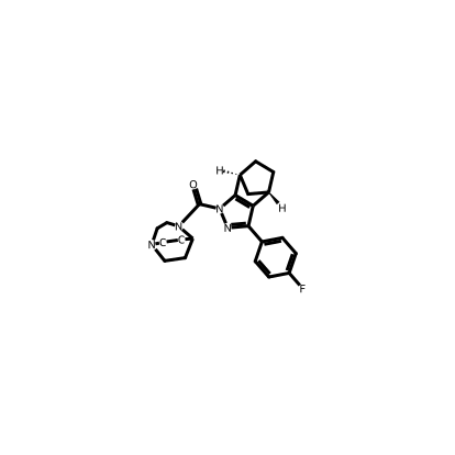 O=C(N1CCN2CCC1CC2)n1nc(-c2ccc(F)cc2)c2c1[C@H]1CC[C@H]2C1